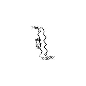 CCCCCCOCCCCCCOC(=O)[O-].CCCCCCOCCCCCCOC(=O)[O-].CCC[CH2][Sn+2][CH2]CCC